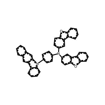 c1ccc2cc3c(cc2c1)c1ccccc1n3-c1ccc(N(c2ccc3oc4ccccc4c3c2)c2ccc3oc4ccccc4c3c2)cc1